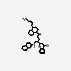 CCC(CC(CC)C(CCC(C)C1CCC(C/C=C\CN)C2CCCCC12)CNC1=CC2C=CCCC2C=C1)c1ccccc1